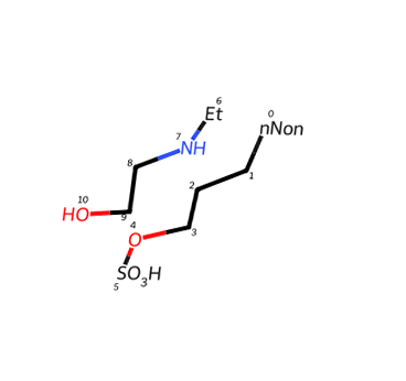 CCCCCCCCCCCCOS(=O)(=O)O.CCNCCO